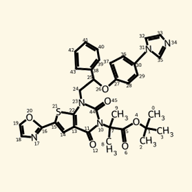 CC(C)(C)OC(=O)C(C)(C)n1c(=O)c2cc(-c3ncco3)sc2n(CC(Oc2ccc(-n3ccnc3)cc2)c2ccccc2)c1=O